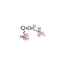 CCOC(=O)NCCCC(=O)N1CCN(c2ccccc2/C=C/C(=O)NO)CC1